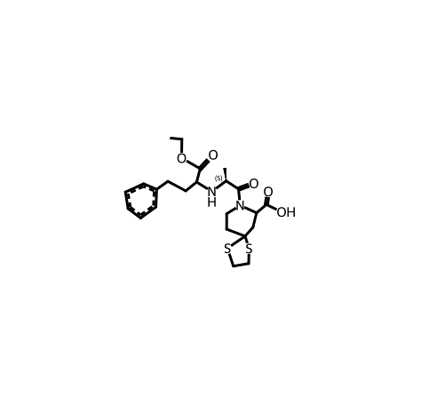 CCOC(=O)C(CCc1ccccc1)N[C@@H](C)C(=O)N1CCC2(CC1C(=O)O)SCCS2